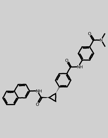 CN(C)C(=O)c1ccc(NC(=O)c2ccc([C@@H]3C[C@H]3C(=O)Nc3ccc4ccccc4c3)cc2)cc1